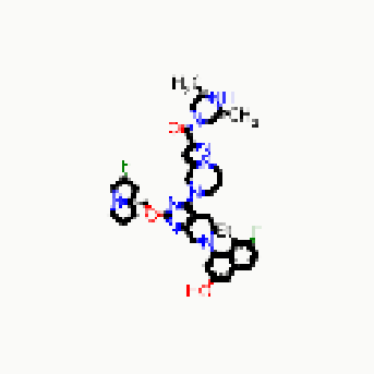 CCc1c(F)ccc2cc(O)cc(N3CCc4c(nc(OC[C@@]56CCCN5C[C@H](F)C6)nc4N4CCCn5nc(C(=O)N6C[C@H](C)N[C@@H](C)C6)cc5C4)C3)c12